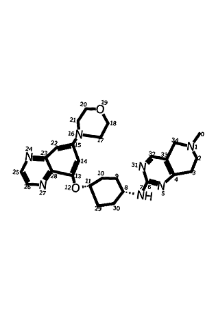 CN1CCc2nc(N[C@H]3CC[C@@H](Oc4cc(N5CCOCC5)cc5nccnc45)CC3)ncc2C1